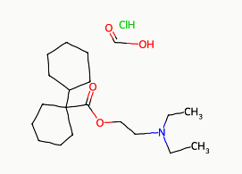 CCN(CC)CCOC(=O)C1(C2CCCCC2)CCCCC1.Cl.O=CO